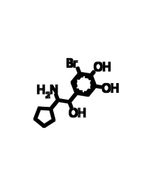 NC(C1CCCC1)C(O)c1cc(O)c(O)c(Br)c1